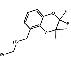 CC(C)CNCc1cccc2c1OC(F)(F)C(F)(F)O2